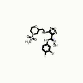 NS(=O)(=O)N1CCOC(CNc2nonc2/C(=N/O)Nc2ccc(I)c(Br)c2)C1